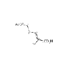 CC(=O)OCCC=C(C)C(=O)O